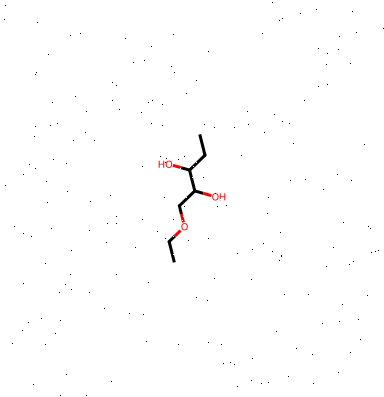 CCOCC(O)C(O)CC